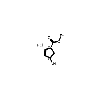 CCOC(=O)[C@@H]1C=C[C@H](N)C1.Cl